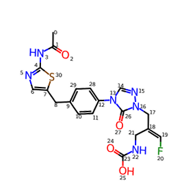 CC(=O)Nc1ncc(Cc2ccc(-n3cnn(C/C(=C/F)CNC(=O)O)c3=O)cc2)s1